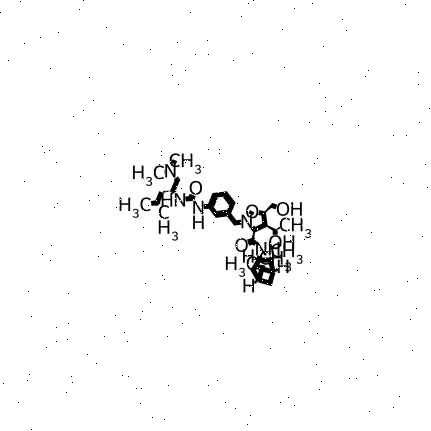 CC(C)C[C@H](CN(C)C)NC(=O)Nc1cccc(CN2O[C@@H](CO)[C@@H]([C@H](C)O)[C@H]2C(=O)N[C@H]2C[C@H]3C[C@@H](C2C)C3(C)C)c1